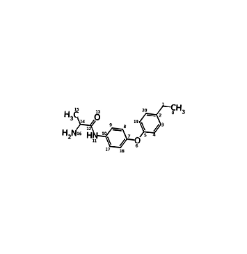 CCc1ccc(Oc2ccc(NC(=O)C(C)N)cc2)cc1